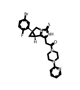 O=C(Cc1[nH]c(=S)n2c1[C@@H]1C[C@]1(c1cc(Br)ccc1F)C2)N1CCN(c2ccccn2)CC1